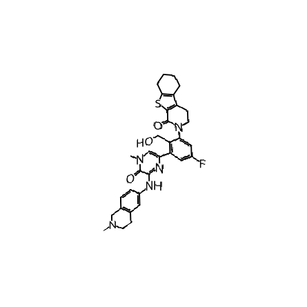 CN1CCc2cc(Nc3nc(-c4cc(F)cc(N5CCc6c(sc7c6CCCC7)C5=O)c4CO)cn(C)c3=O)ccc2C1